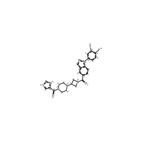 O=C(c1ccc2c(cnn2-c2ccc(F)c(F)c2)c1)N1CC(N2CCN(C(=O)c3cscn3)CC2)C1